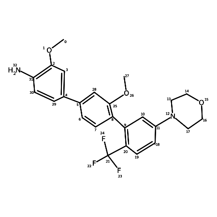 COc1cc(-c2ccc(-c3cc(N4CCOCC4)[c]cc3C(F)(F)F)c(OC)c2)ccc1N